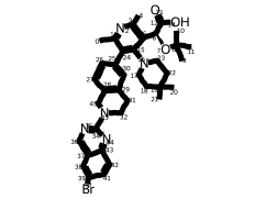 Cc1nc(C)c([C@H](OC(C)(C)C)C(=O)O)c(N2CCC(C)(C)CC2)c1-c1ccc2c(c1)CCN(c1ncc3cc(Br)ccc3n1)C2